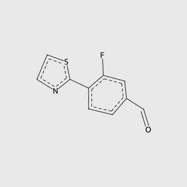 O=Cc1ccc(-c2nccs2)c(F)c1